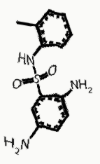 Cc1ccccc1NS(=O)(=O)c1cc(N)ccc1N